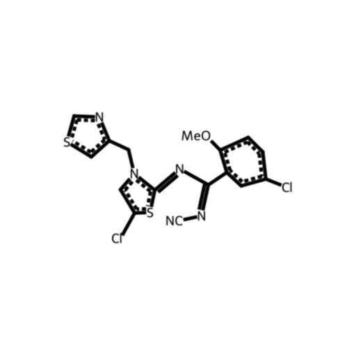 COc1ccc(Cl)cc1C(=NC#N)N=c1sc(Cl)cn1Cc1cscn1